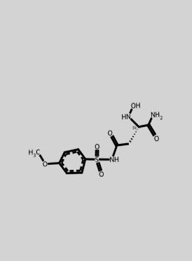 COc1ccc(S(=O)(=O)NC(=O)C[C@H](NO)C(N)=O)cc1